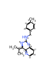 Cc1ccc(CNc2nc(C(C)C)c3ncccc3n2)cc1